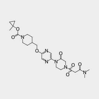 CN(C)C(=O)CS(=O)(=O)N1CCN(c2cnc(OCC3CCN(C(=O)OC4(C)CC4)CC3)cn2)C(=O)C1